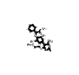 CCCCc1nc(C)nc(OCCOC)c1-c1cc(CCC)c(OC(C(=O)OC)c2ccccc2)c(CCC)c1CC